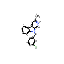 [CH2]c1cc2c3ccccc3n(Cc3cccc(Cl)c3)c2cn1